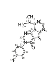 CN(C)c1ncnc2sc3c(=O)n(-c4ccc(F)cc4)cnc3c12